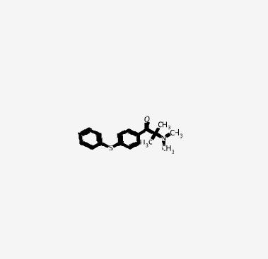 CN(C)C(C)(C)C(=O)c1ccc(Sc2ccccc2)cc1